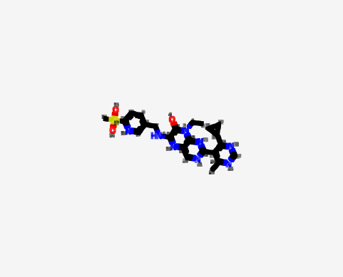 CCn1c(=O)c(NCc2ccc(S(C)(=O)=O)nc2)nc2cnc(-c3c(C)ncnc3C3CC3)nc21